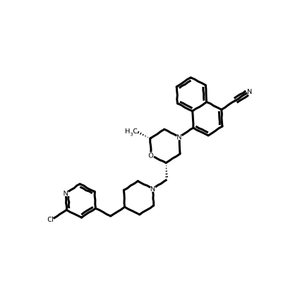 C[C@@H]1CN(c2ccc(C#N)c3ccccc23)C[C@H](CN2CCC(Cc3ccnc(Cl)c3)CC2)O1